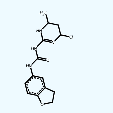 CC1CC(Cl)N=C(NC(=O)Nc2ccc3c(c2)CCO3)N1